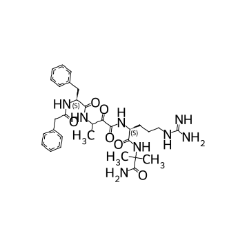 CC(NC(=O)[C@H](Cc1ccccc1)NC(=O)Cc1ccccc1)C(=O)C(=O)N[C@@H](CCCNC(=N)N)C(=O)NC(C)(C)C(N)=O